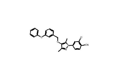 Cc1nn(-c2ccc(C#N)c(Cl)c2)c(C)c1OCc1cccc(Oc2ccccc2)c1